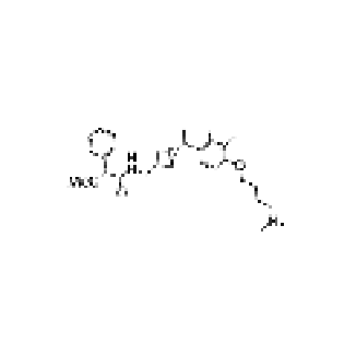 COC(C(=O)NCC1CN(C(C)c2ccc(OCCCCN(C)C)c(C)c2C)C1)c1ccccc1